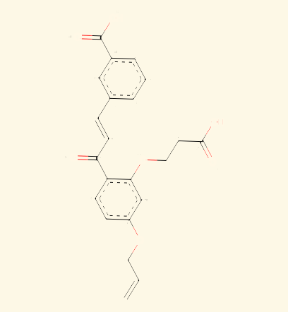 C=CCOc1ccc(C(=O)C=Cc2cccc(C(=O)O)c2)c(OCCC(=O)O)c1